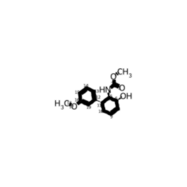 COC(=O)N[C@H]1[C@H](O)C=CC[C@@H]1c1cccc(OC)c1